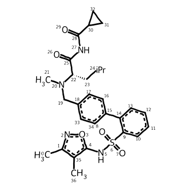 Cc1noc(NS(=O)(=O)c2ccccc2-c2ccc(CN(C)[C@@H](CC(C)C)C(=O)NC(=O)C3CC3)cc2)c1C